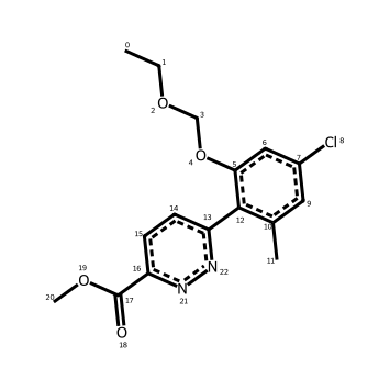 CCOCOc1cc(Cl)cc(C)c1-c1ccc(C(=O)OC)nn1